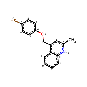 Cc1cc(COc2ccc(S)cc2)c2ccccc2n1